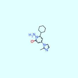 Cc1nccn1-c1cc(C2CCCCC2)n(N)c(=O)c1